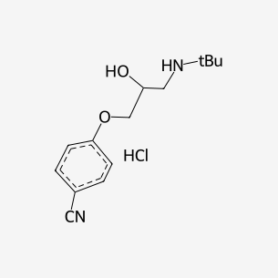 CC(C)(C)NCC(O)COc1ccc(C#N)cc1.Cl